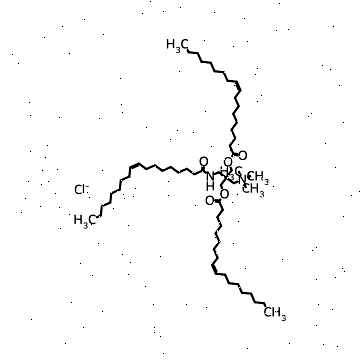 CCCCCCCC/C=C\CCCCCCCC(=O)NCC(COC(=O)CCCCCCC/C=C\CCCCCCCC)(COC(=O)CCCCCCC/C=C\CCCCCCCC)C[N+](C)(C)C.[Cl-]